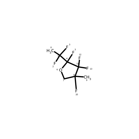 CC(F)(F)C1(F)OCC(C)(F)C1(F)F